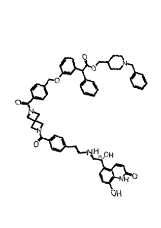 O=C(OCC1CCN(Cc2ccccc2)CC1)C(c1ccccc1)c1cccc(OCc2ccc(C(=O)N3CC4(CN(C(=O)c5ccc(CCNC[C@H](O)c6ccc(O)c7[nH]c(=O)ccc67)cc5)C4)C3)cc2)c1